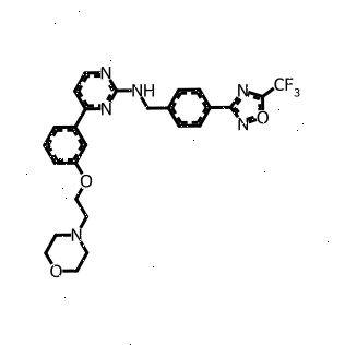 FC(F)(F)c1nc(-c2ccc(CNc3nccc(-c4cccc(OCCN5CCOCC5)c4)n3)cc2)no1